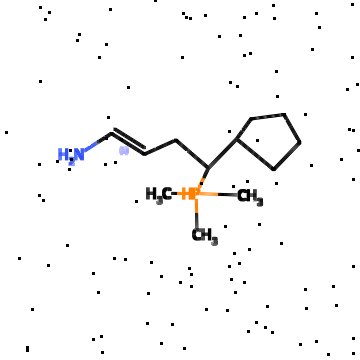 C[PH](C)(C)C(C/C=C/N)C1CCCC1